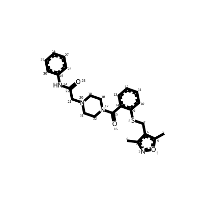 Cc1noc(C)c1CSc1ccccc1C(=O)N1CCN(CC(=O)Nc2ccccc2)CC1